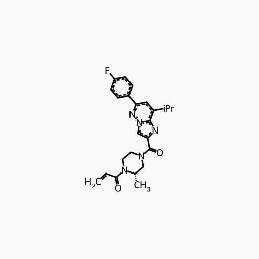 C=CC(=O)N1CCN(C(=O)c2cn3nc(-c4ccc(F)cc4)cc(C(C)C)c3n2)C[C@@H]1C